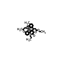 CCCn1ccc(C(CC(=O)OCC)c2ccc(C)c(CN3CC(C)Oc4ccccc4S3(O)O)c2)cc1=O